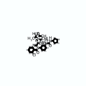 CC(C)[Si](O[C@@H](C)c1nc2cccc(Cl)c2c(=O)n1-c1cccc(NC(=O)NC2CCCC2)c1)(C(C)C)C(C)C